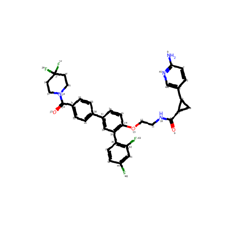 Nc1ccc(C2CC2C(=O)NCCOc2ccc(-c3ccc(C(=O)N4CCC(F)(F)CC4)cc3)cc2-c2ccc(F)cc2F)cn1